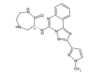 Cn1ccc(-c2nc3c4ccccc4nc(N[C@@H]4CNCCNC4=O)n3n2)n1